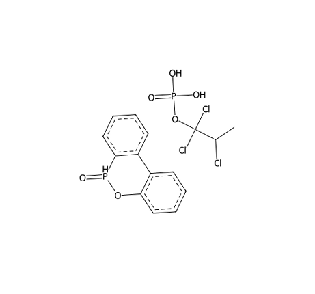 CC(Cl)C(Cl)(Cl)OP(=O)(O)O.O=[PH]1Oc2ccccc2-c2ccccc21